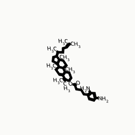 CC(C)=CCCC(C)C1CCC2(C)C3CC=C4C(C)(C)C(OC(=O)CCCc5ccc(N)cc5N)CCC4(C)C3CCC12C